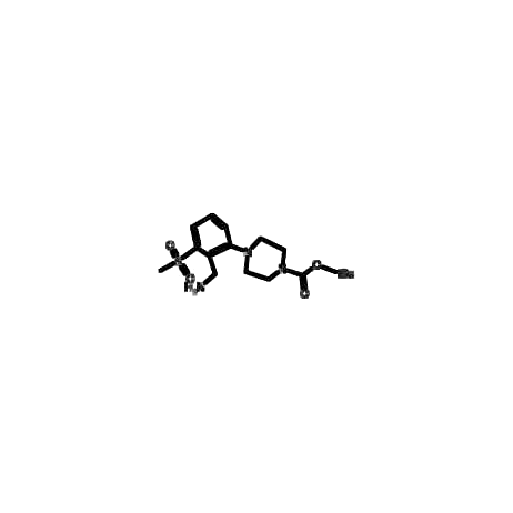 CC(C)(C)OC(=O)N1CCN(c2cccc(S(C)(=O)=O)c2CN)CC1